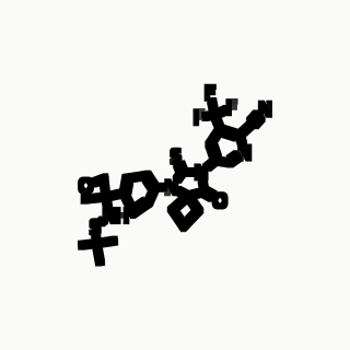 CC(C)(C)SNC1(c2ccc(N3C(=S)N(c4cnc(C#N)c(C(F)(F)F)c4)C(=O)C34CCC4)cc2)COC1